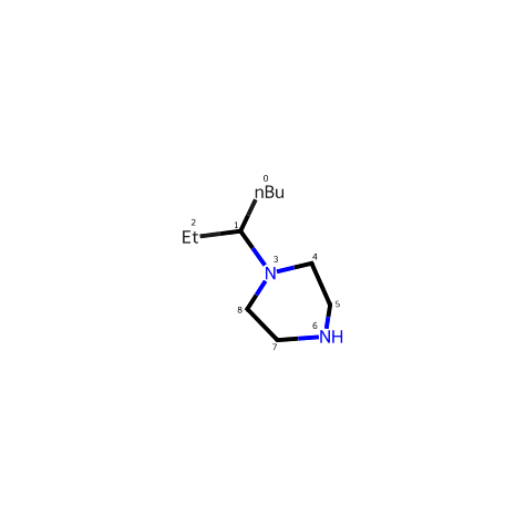 CCCCC(CC)N1CCNCC1